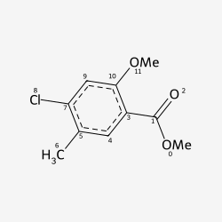 COC(=O)c1cc(C)c(Cl)cc1OC